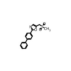 CS(=O)(=O)Cc1cnc(-c2ccc(-c3ccccc3)cc2)o1